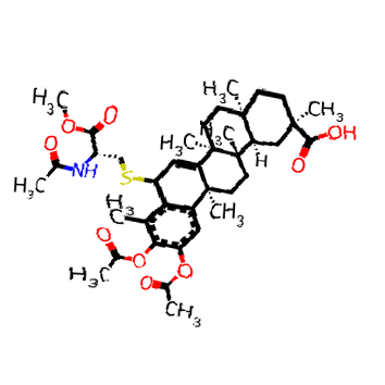 COC(=O)[C@H](CSC1C=C2[C@@](C)(CC[C@@]3(C)[C@@H]4C[C@](C)(C(=O)O)CC[C@]4(C)CC[C@]23C)c2cc(OC(C)=O)c(OC(C)=O)c(C)c21)NC(C)=O